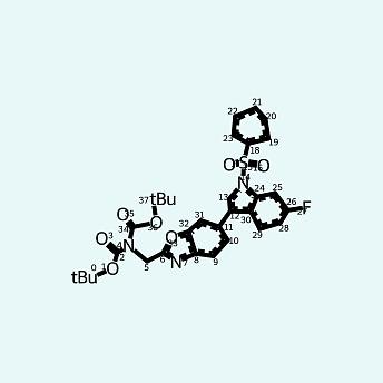 CC(C)(C)OC(=O)N(Cc1nc2ccc(-c3cn(S(=O)(=O)c4ccccc4)c4cc(F)ccc34)cc2o1)C(=O)OC(C)(C)C